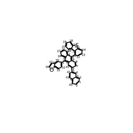 c1ccc2cc(-c3ccc4c(-c5cccc6sc7ccccc7c56)c5ccccc5c(-c5ccc6occc6c5)c4c3)ccc2c1